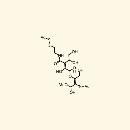 COC(O)/C(NC(C)=O)=C(/CO)OC(O)/C(O)=C(/C(=O)NCCSSC(C)=O)C(O)CO